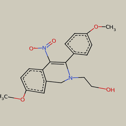 COc1ccc(C2=C([N+](=O)[O-])c3ccc(OC)cc3CN2CCO)cc1